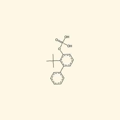 CC(C)(C)c1c(OP(=O)(O)O)cccc1-c1ccccc1